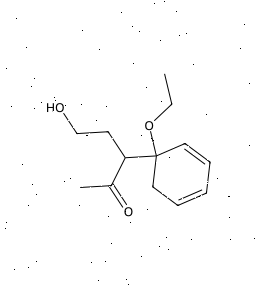 CCOC1(C(CCO)C(C)=O)C=CC=CC1